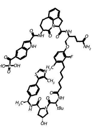 Cc1ccc(OC[C@H](CCC(N)=O)NC(=O)[C@@H]2Cc3cccc4c3N2C(=O)[C@@H](NC(=O)c2cc3cc(C(=O)P(=O)(O)O)ccc3[nH]2)CC4)c(F)c1CCCCCC(=O)N[C@H](C(=O)N1C[C@H](O)C[C@H]1C(=O)N[C@@H](C)c1ccc(-c2scnc2C)cc1)C(C)(C)C